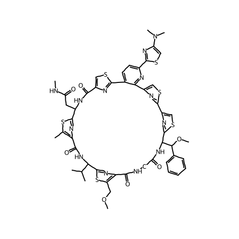 CNC(=O)CC1NC(=O)c2csc(n2)-c2ccc(-c3nc(N(C)C)cs3)nc2-c2csc(n2)-c2csc(n2)C(C(OC)c2ccccc2)NC(=O)CNC(=O)c2nc(sc2COC)C(C(C)C)NC(=O)c2nc1sc2C